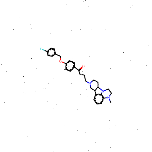 CN1CCN2c3c(cccc31)C1CN(CCCC(=O)c3ccc(OCc4ccc(F)cc4)cc3)CCC12